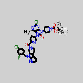 Cc1nc(Cl)nc2c1n(-c1ccc(C(=O)N3CCc4c(n(Cc5ccc(Cl)cc5F)c5ncccc45)C3)nc1)c(=O)n2C1CCN(C(=O)OC(C)(C)C)CC1